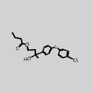 CCCC(=O)OCCC(C)(O)c1ccc(Oc2ccc(Cl)cc2)cc1